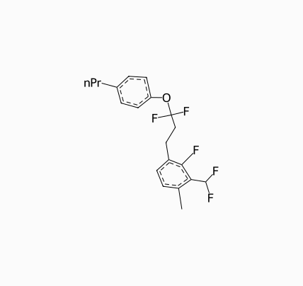 CCCc1ccc(OC(F)(F)CCc2ccc(C)c(C(F)F)c2F)cc1